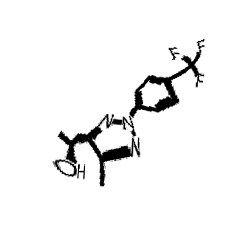 Cc1nn(-c2ccc(C(F)(F)F)cc2)nc1C(C)O